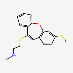 CNCCSC1=Cc2ccc(SC)cc2Oc2ccccc21